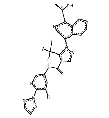 C[C@@H](O)c1ncc(-n2ncc(C(=O)Nc3cnc(-n4nccn4)c(Cl)c3)c2C(F)(F)F)c2ccccc12